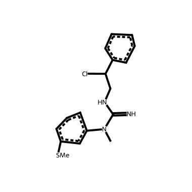 CSc1cccc(N(C)C(=N)NCC(Cl)c2ccccc2)c1